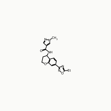 CCc1nc(-c2ccc3c(c2)OCCC3NC(=O)c2cnn(C)c2)no1